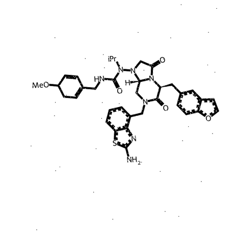 COC1C=CC(CNC(=O)N(C(C)C)N2CC(=O)N3[C@@H](Cc4ccc5occc5c4)C(=O)N(Cc4cccc5sc(N)nc45)C[C@@H]32)=CC1